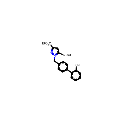 CCCCCc1cc(C(=O)OCC)nn1Cc1ccc(-c2ccccc2C#N)cc1